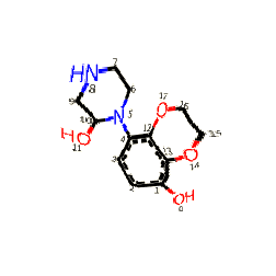 Oc1ccc(N2CCNCC2O)c2c1OCCO2